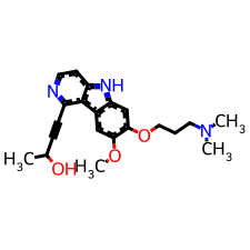 COc1cc2c(cc1OCCCN(C)C)[nH]c1ccnc(C#CC(C)O)c12